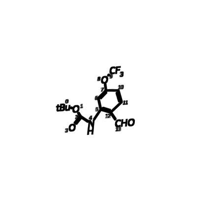 CC(C)(C)OC(=O)Nc1cc(OC(F)(F)F)ccc1C=O